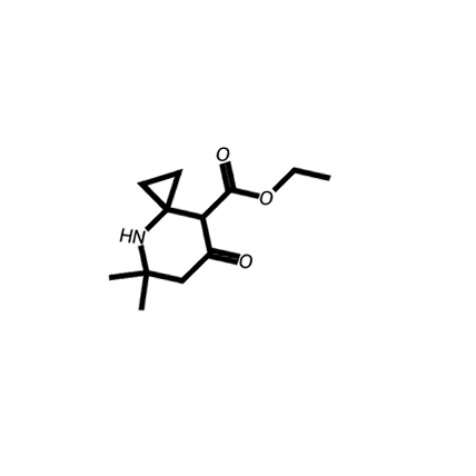 CCOC(=O)C1C(=O)CC(C)(C)NC12CC2